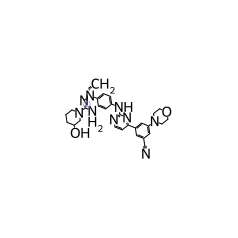 C=CN(/N=C(\N)N1CCCC(O)C1)c1ccc(Nc2nccc(-c3cc(C#N)cc(N4CCOCC4)c3)n2)cc1